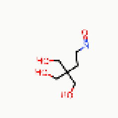 O=NCCC(CO)(CO)CO